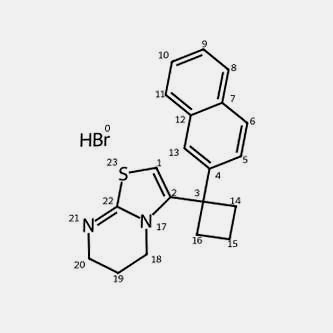 Br.C1=C(C2(c3ccc4ccccc4c3)CCC2)N2CCCN=C2S1